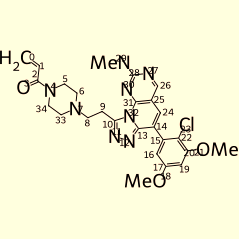 C=CC(=O)N1CCN(CCc2nnc3c(-c4cc(OC)cc(OC)c4Cl)cc4cnc(NC)nc4n23)CC1